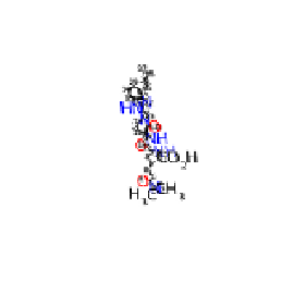 CN(C)C(=O)/C=C/CC[C@H](NC(=O)O)C(=O)Nc1cccn(Cc2nc3c(CC4CC4)cccc3[nH]2)c1=O